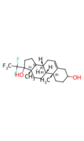 C[C@]12CCC(O)CC1=CC[C@@H]1[C@H]2CC[C@@]2(C)[C@H]1CCC2(O)C(F)(F)C(F)(F)F